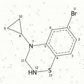 Brc1ccc2c(c1)N(C1CC1)CNS2